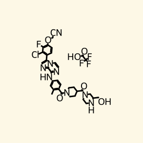 Cc1cc(Nc2nccn3c(-c4ccc(OCC#N)c(F)c4Cl)cnc23)ccc1C(=O)N1CCC(C(=O)N2CCNC(CO)C2)CC1.O=C(O)C(F)(F)F